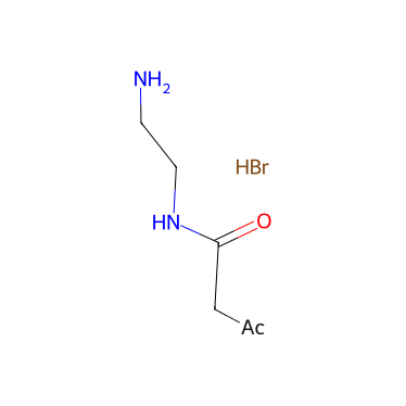 Br.CC(=O)CC(=O)NCCN